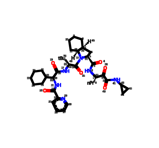 CCC[C@H](NC(=O)[C@@H]1C[C@@H]2CCCC[C@@H]2N1C(=O)[C@@H](NC(=O)[C@@H](NC(=O)c1ccccn1)C1CCCCC1)C(C)(C)C)C(=O)C(=O)NC1CC1